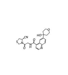 N#C[C@@H]1CSCN1C(=O)CNC(=O)c1ccnc2ccc(C3(O)CCOCC3)cc12